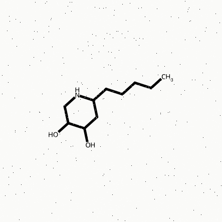 CCCCCC1CC(O)C(O)CN1